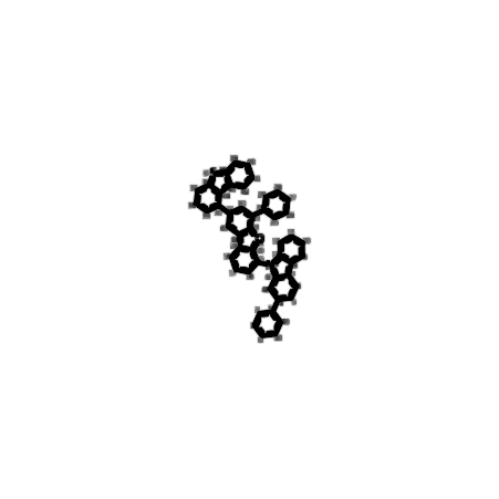 c1ccc(-c2ccc3c4ccccc4n(-c4cccc5c4oc4c(-c6ccccc6)cc(-c6cccc7sc8ccccc8c67)cc45)c3c2)cc1